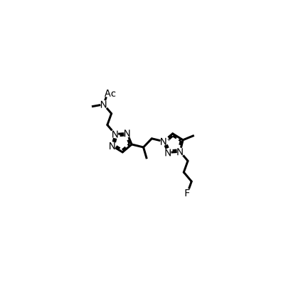 CC(=O)N(C)CCn1ncc(C(C)C[n+]2cc(C)n(CCCF)n2)n1